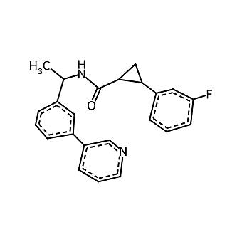 CC(NC(=O)C1CC1c1cccc(F)c1)c1cccc(-c2cccnc2)c1